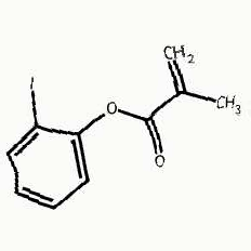 C=C(C)C(=O)Oc1ccccc1I